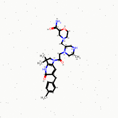 Cc1ccc(Cc2cc3c([nH]c2=O)C(C)(C)CN3C(=O)CN2C[C@@H](C)NC[C@@H]2CN2CCOC(C(N)=O)C2)cc1